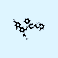 Cl.N#Cc1ccc(-c2ccc(OC(F)(F)F)c(CN[C@H]3CCN(C(=O)CN4C(=O)CCCC4=O)C[C@H]3c3ccccc3)c2)c(F)c1